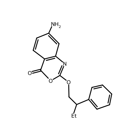 CCC(COc1nc2cc(N)ccc2c(=O)o1)c1ccccc1